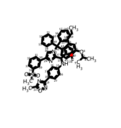 CCOc1cc(OC(C)C)c(F)c(C(Nc2ccc(-c3noc(C)n3)cc2)c2nc(-c3cccc(S(C)(=O)=O)c3)cn2C(c2ccccc2)(c2ccccc2)c2ccccc2)c1